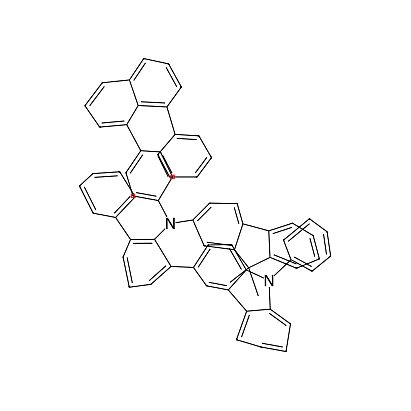 CC1(C)c2ccccc2-c2ccc(N(c3ccc(-c4cccc5cccc(-c6ccccc6)c45)cc3)c3c(-c4ccccc4)cccc3-c3ccc4c(c3)c3ccccc3n4-c3ccccc3)cc21